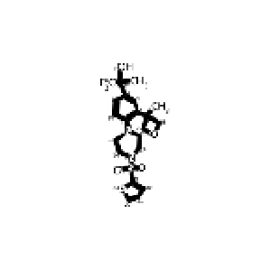 CC1(c2cc(C(C)(O)C(F)(F)F)ccc2N2CCN(S(=O)(=O)c3cccs3)CC2)COC1